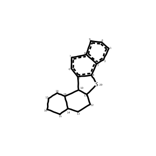 c1ccc2c3c(ccc2c1)C1C(CCC2CCCCC21)S3